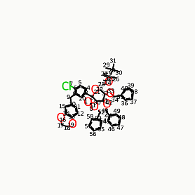 CO[C@@]1(c2ccc(Cl)c(Cc3ccc4c(c3)OCCO4)c2)O[C@H](CO[Si](C)(C)C(C)(C)C)[C@@H](OCc2ccccc2)[C@H](OCc2ccccc2)[C@H]1OCc1ccccc1